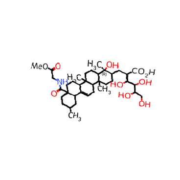 COC(=O)CNC(=O)C12CCC(C)CC1C1=CCC3C(C)(CCC4C3(C)CCC(CC(C(=O)O)C(O)C(O)C(O)CO)[C@@]4(C)O)C1CC2